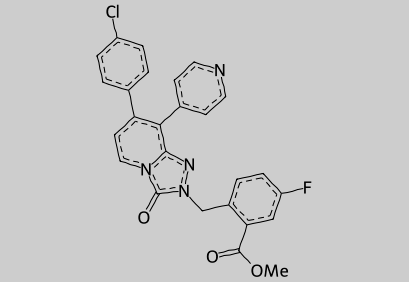 COC(=O)c1cc(F)ccc1Cn1nc2c(-c3ccncc3)c(-c3ccc(Cl)cc3)ccn2c1=O